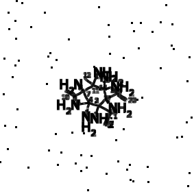 C=CC1(N)C(N)(N)[C@](N)(C=C)C(C)(N)C(N)(N)[C@]1(N)C=C